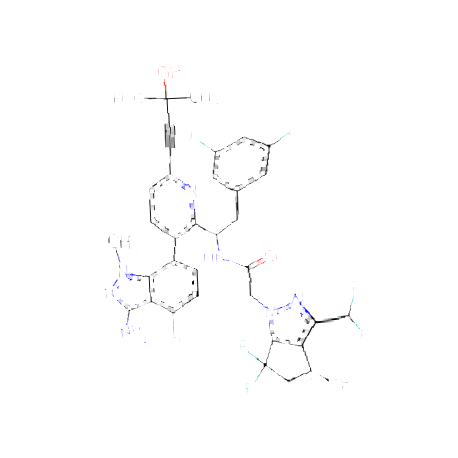 C[C@H]1CC(F)(F)c2c1c(C(F)F)nn2CC(=O)NC(Cc1cc(F)cc(F)c1)c1nc(C#CC(C)(C)O)ccc1-c1ccc(Cl)c2c(N)nn(C)c12